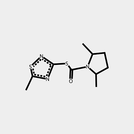 Cc1nc(SC(=O)N2C(C)CCC2C)ns1